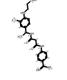 COCCNc1ccc(C(C)NC(=O)CC(=O)Nc2ccc(C(=N)N)cc2)cc1C(F)(F)F